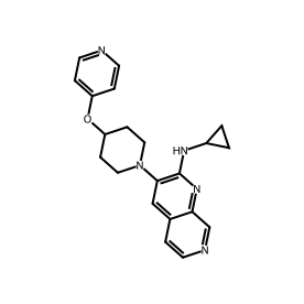 c1cc(OC2CCN(c3cc4ccncc4nc3NC3CC3)CC2)ccn1